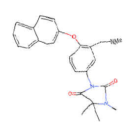 CNCc1cc(N2C(=O)N(C)C(C)(C)C2=O)ccc1Oc1ccc2ccccc2c1